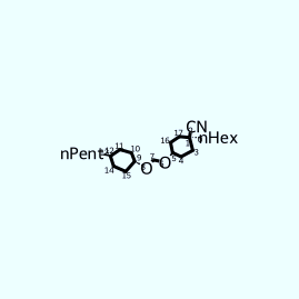 CCCCCC[C@]1(C#N)CC[C@H](OCO[C@H]2CC[C@H](CCCCC)CC2)CC1